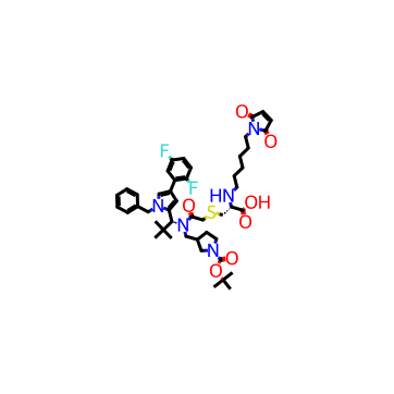 CC(C)(C)OC(=O)N1CCC(CN(C(=O)CSC[C@H](NCCCCCCN2C(=O)C=CC2=O)C(=O)O)[C@@H](c2cc(-c3cc(F)ccc3F)cn2Cc2ccccc2)C(C)(C)C)C1